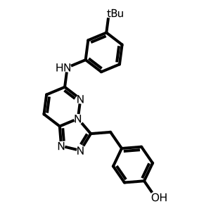 CC(C)(C)c1cccc(Nc2ccc3nnc(Cc4ccc(O)cc4)n3n2)c1